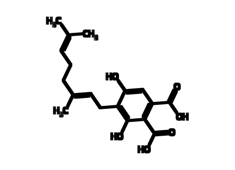 CC(C)=CCC/C(C)=C/Cc1c(O)cc(C(=O)O)c(C(=O)O)c1O